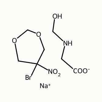 O=C([O-])CNCO.O=[N+]([O-])C1(Br)COCOC1.[Na+]